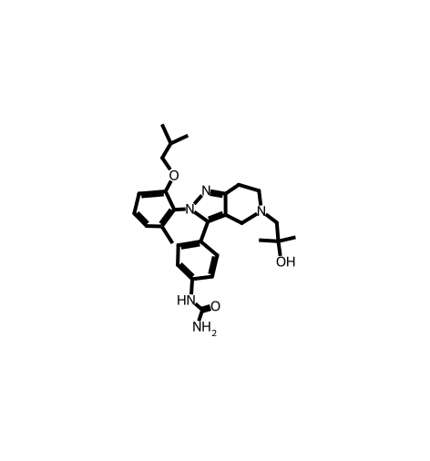 Cc1cccc(OCC(C)C)c1-n1nc2c(c1-c1ccc(NC(N)=O)cc1)CN(CC(C)(C)O)CC2